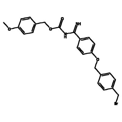 COc1ccc(COC(=O)NC(=N)c2ccc(OCc3ccc(CBr)cc3)cc2)cc1